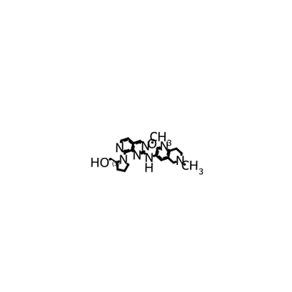 COc1nc2c(cc1Nc1ncc3ccnc(N4CCC[C@H]4CO)c3n1)CN(C)CC2